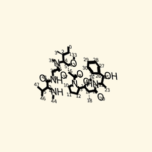 CC[C@H](C)C([C@@H](CC(=O)N1CCCC1C(OC)[C@@H](C)C(=O)NC(C)[C@@H](O)c1ccccc1)OC)N(C)C(=O)CNC(=O)C(NC)C(C)C